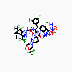 Cn1nc(NS(C)(=O)=O)c2c(Cl)ccc(-n3c([C@H](Cc4cc(F)cc(F)c4)NC(=O)Cn4nc(C(F)F)c5c4C(F)(F)[C@@H]4C[C@H]54)nc4nc(N5CCO[C@@H](C(F)(F)F)C5)ccc4c3=O)c21